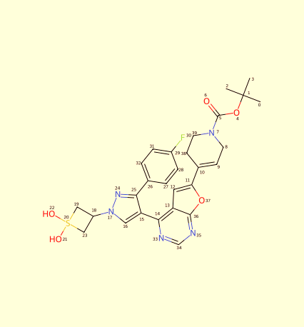 CC(C)(C)OC(=O)N1CC=C(c2cc3c(-c4cn(C5CS(O)(O)C5)nc4-c4ccc(F)cc4)ncnc3o2)CC1